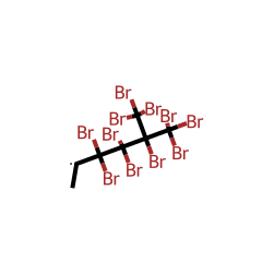 C[CH]C(Br)(Br)C(Br)(Br)C(Br)(C(Br)(Br)Br)C(Br)(Br)Br